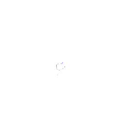 CCCCCCCOc1ccc(CC[C@H]2CC[C@H](CCCCCCC)CC2)nc1